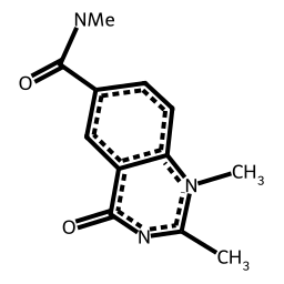 CNC(=O)c1ccc2c(c1)c(=O)nc(C)n2C